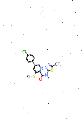 CCSc1cc(-c2ccc(Cl)cc2)cnc1C(=O)N(C)c1nnc(C(F)(F)F)s1